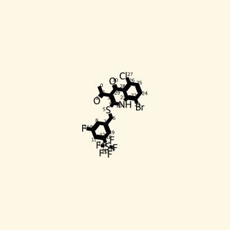 CC(=O)c1c(SCc2cc(F)cc(S(F)(F)(F)(F)F)c2)[nH]c2c(Br)ccc(Cl)c2c1=O